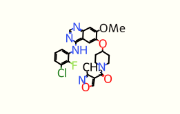 COc1cc2ncnc(Nc3cccc(Cl)c3F)c2cc1OC1CCN(C(=O)c2conc2C)CC1